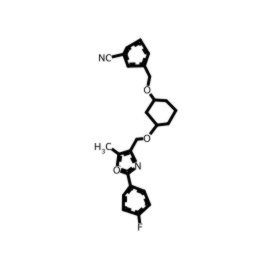 Cc1oc(-c2ccc(F)cc2)nc1COC1CCCC(OCc2cccc(C#N)c2)C1